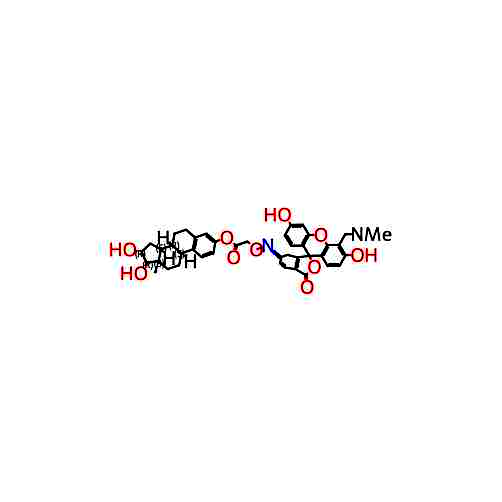 CNCc1c(O)ccc2c1Oc1cc(O)ccc1C21OC(=O)C2=C1CC(=NOCC(=O)Oc1ccc3c(c1)CC[C@@H]1[C@@H]3CC[C@]3(C)[C@@H](O)[C@H](O)C[C@@H]13)C=C2